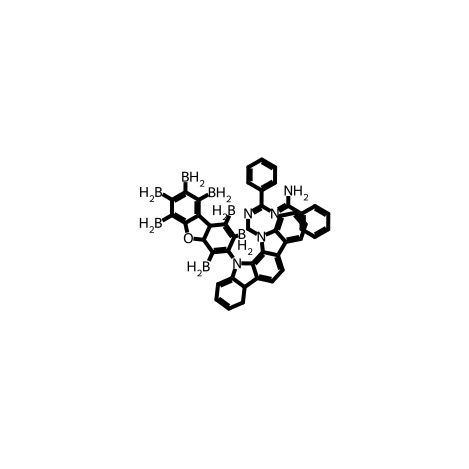 BC1=C(B)C2c3c(B)c(B)c(B)c(B)c3OC2C(B)=C1N1C2=CC=CCC2c2ccc3c4ccccc4n(C/N=C(\N=C(/N)c4ccccc4)c4ccccc4)c3c21